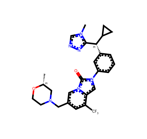 C[C@@H]1CN(Cc2cc(C(F)(F)F)c3cn(-c4cccc([C@H](c5nncn5C)C5CC5)c4)c(=O)n3c2)CCO1